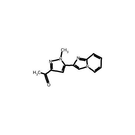 CC(=O)c1cc(-c2cn3ccccc3n2)n(C)n1